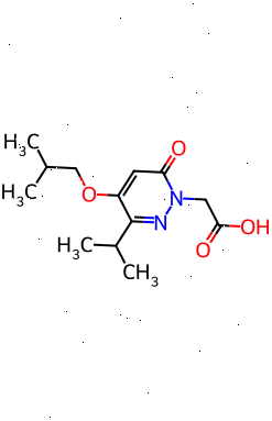 CC(C)COc1cc(=O)n(CC(=O)O)nc1C(C)C